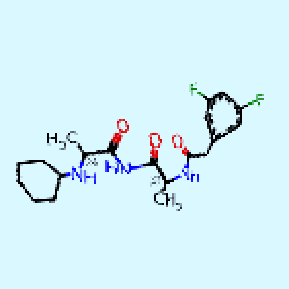 C[C@H](NC(=O)Cc1cc(F)cc(F)c1)C(=O)NC(=O)[C@H](C)NC1CCCCC1